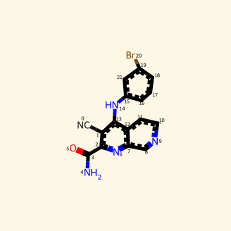 N#Cc1c(C(N)=O)nc2cn[c]cc2c1Nc1cccc(Br)c1